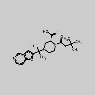 CC(C)(C)CC(=O)N1CCN(C(C)(C)c2cc3cnccc3o2)C[C@H]1C(=O)O